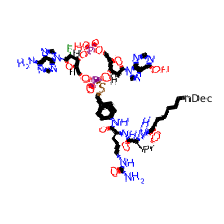 CCCCCCCCCCCCCCCC(=O)N[C@H](C(=O)N[C@@H](CCCNC(N)=O)C(=O)Nc1ccc(CSP2(=O)OC[C@H]3O[C@@H](n4cnc5c(N)ncnc54)[C@H](F)[C@@H]3OP(=O)(O)OCC3O[C@@H](n4cnc5c(O)ncnc54)C[C@@H]3O2)cc1)C(C)C